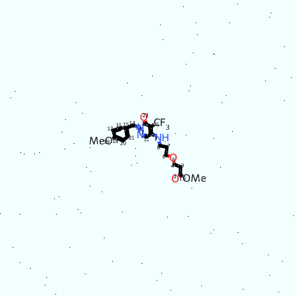 COC(=O)CCOCCCNc1cnn(Cc2ccc(OC)cc2)c(=O)c1C(F)(F)F